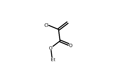 C=C(Cl)C(=O)OCC